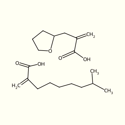 C=C(CC1CCCO1)C(=O)O.C=C(CCCCCC(C)C)C(=O)O